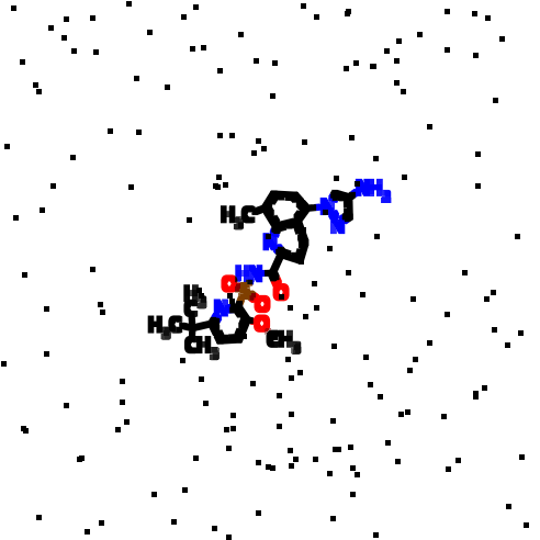 COc1ccc(C(C)(C)C)nc1S(=O)(=O)NC(=O)c1ccc2c(-n3cc(N)cn3)ccc(C)c2n1